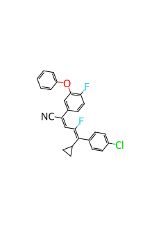 N#CC(=CC(F)=C(c1ccc(Cl)cc1)C1CC1)c1ccc(F)c(Oc2ccccc2)c1